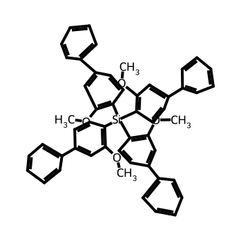 COc1cc(-c2ccccc2)ccc1[Si](c1ccc(-c2ccccc2)cc1OC)(c1ccc(-c2ccccc2)cc1OC)c1ccc(-c2ccccc2)cc1OC